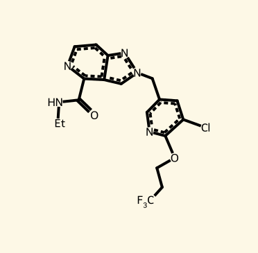 CCNC(=O)c1nccc2nn(Cc3cnc(OCCC(F)(F)F)c(Cl)c3)cc12